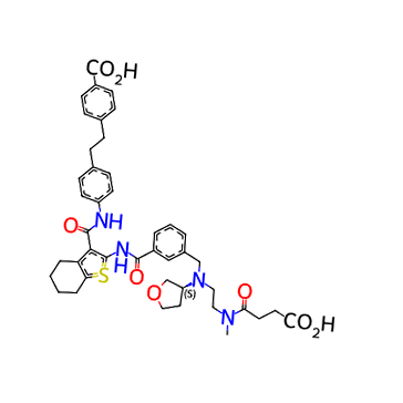 CN(CCN(Cc1cccc(C(=O)Nc2sc3c(c2C(=O)Nc2ccc(CCc4ccc(C(=O)O)cc4)cc2)CCCC3)c1)[C@H]1CCOC1)C(=O)CCC(=O)O